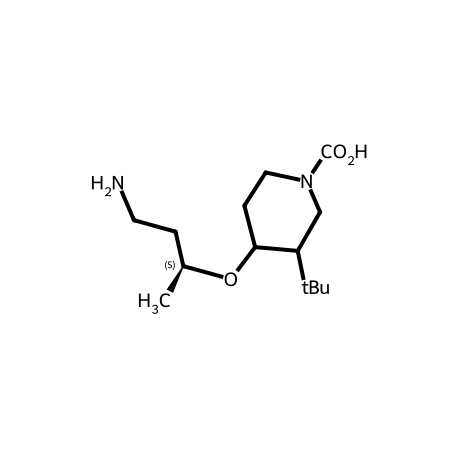 C[C@@H](CCN)OC1CCN(C(=O)O)CC1C(C)(C)C